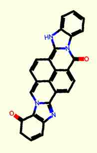 O=C1CC=Cc2nc3c4ccc5c(=O)n6c7ccccc7[nH]c6c6ccc(cn3c21)c4c56